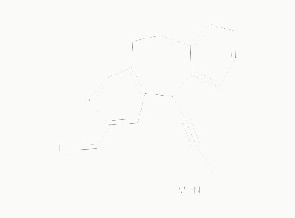 C=Cc1ccc2c(c1)C(C#CCNC)c1ccccc1CC2